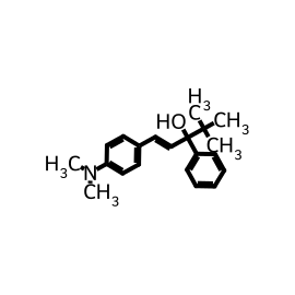 CN(C)c1ccc(C=CC(O)(c2ccccc2)C(C)(C)C)cc1